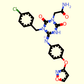 NC(=O)Cn1c(=O)[nH]/c(=N\c2ccc(Oc3ccon3)cc2)n(Cc2ccc(Cl)cc2)c1=O